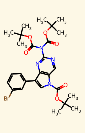 CC(C)(C)OC(=O)N(C(=O)OC(C)(C)C)c1ncc2c(n1)c(-c1cccc(Br)c1)cn2C(=O)OC(C)(C)C